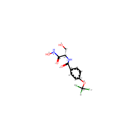 O=C(N[C@@H](CO)C(=O)NO)c1ccc(OC(F)(F)F)cc1